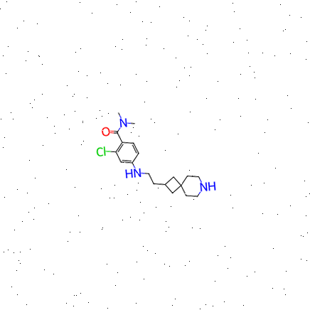 CN(C)C(=O)c1ccc(NCCC2CC3(CCNCC3)C2)cc1Cl